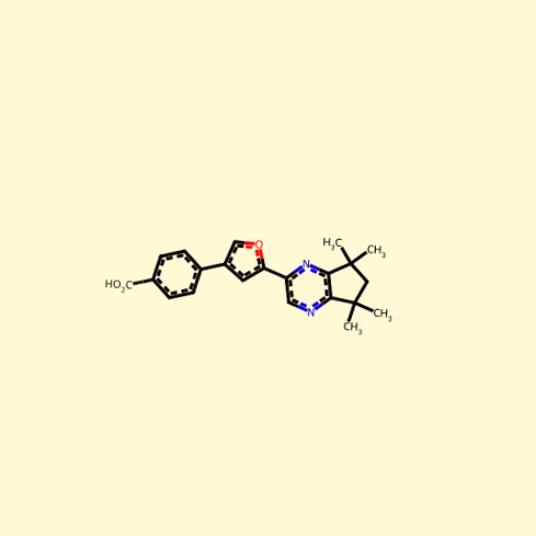 CC1(C)CC(C)(C)c2nc(-c3cc(-c4ccc(C(=O)O)cc4)co3)cnc21